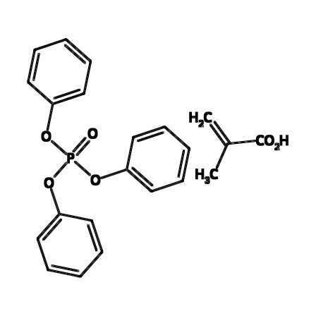 C=C(C)C(=O)O.O=P(Oc1ccccc1)(Oc1ccccc1)Oc1ccccc1